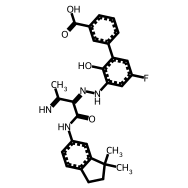 CC(=N)/C(=N/Nc1cc(F)cc(-c2cccc(C(=O)O)c2)c1O)C(=O)Nc1ccc2c(c1)C(C)(C)CC2